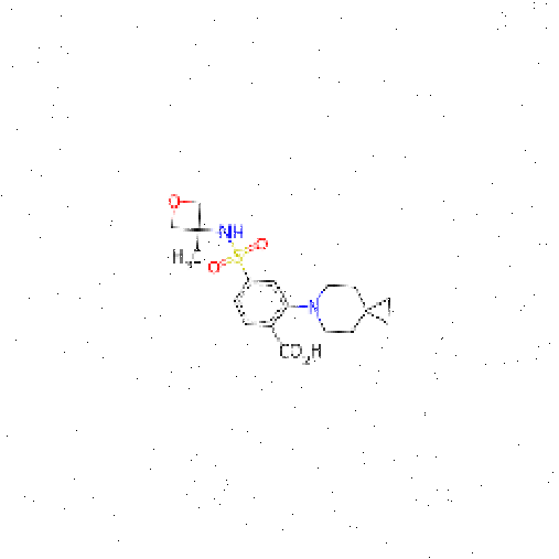 CC1(NS(=O)(=O)c2ccc(C(=O)O)c(N3CCC4(CC3)CC4)c2)COC1